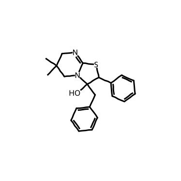 CC1(C)CN=C2SC(c3ccccc3)C(O)(Cc3ccccc3)N2C1